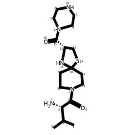 CC(C)[C@H](N)C(=O)N1CCC2(CC1)N[C@H](C(=O)N1CCNCC1)CS2